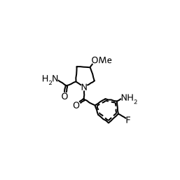 COC1CC(C(N)=O)N(C(=O)c2ccc(F)c(N)c2)C1